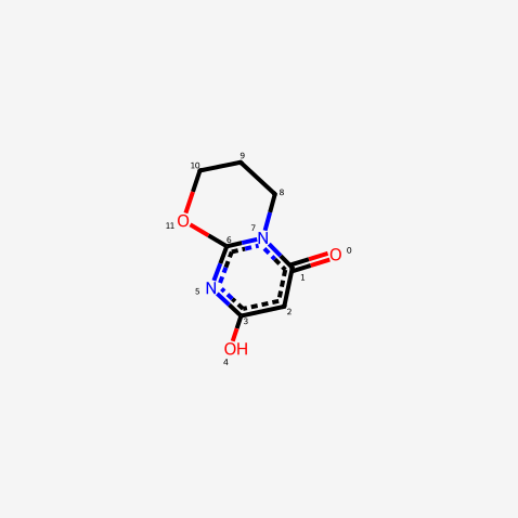 O=c1cc(O)nc2n1CCCO2